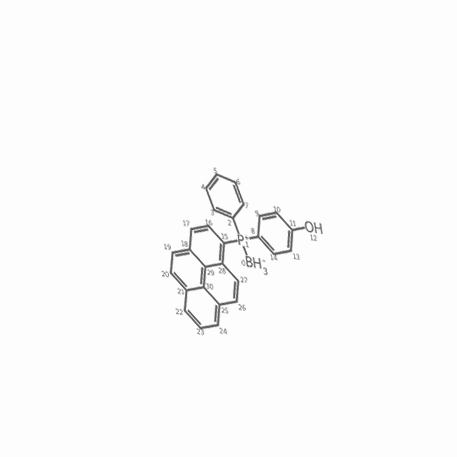 [BH3-][P+](c1ccccc1)(c1ccc(O)cc1)c1ccc2ccc3cccc4ccc1c2c34